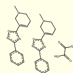 CN1CCC=C(c2nc(-c3ccccc3)no2)C1.CN1CCC=C(c2nc(-c3ccccc3)no2)C1.O=C(O)C(=O)O